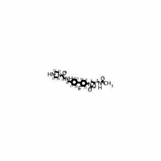 CC(=O)NC[C@H]1CN(c2ccc(-c3ccc(CNCC(=O)N4CCNCC4)cc3)c(F)c2)C(=O)O1